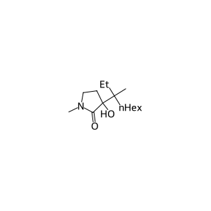 CCCCCCC(C)(CC)C1(O)CCN(C)C1=O